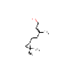 CC(=CCO)CCC1CC1(C)C